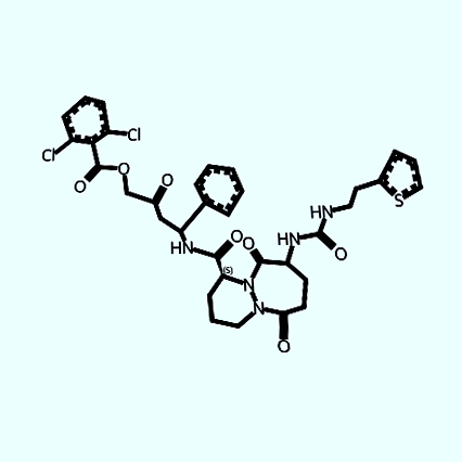 O=C(COC(=O)c1c(Cl)cccc1Cl)CC(NC(=O)[C@@H]1CCCN2C(=O)CCC(NC(=O)NCCc3cccs3)C(=O)N12)c1ccccc1